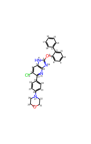 Clc1cc2[nH]c(Oc3ccccc3-c3ccccc3)nc2nc1-c1ccc(N2CCOCC2)cc1